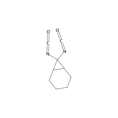 O=C=NC1(N=C=O)C2CCCCC21